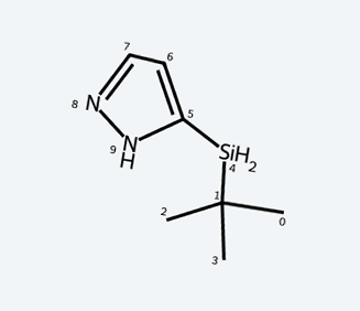 CC(C)(C)[SiH2]c1ccn[nH]1